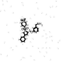 NCc1ccnc(OC[C@@H]2CC(C3CCCCC3)CN2S(=O)(=O)N2CCS(=O)(=O)CC2)c1